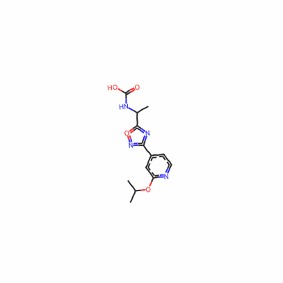 CC(C)Oc1cc(-c2noc(C(C)NC(=O)O)n2)ccn1